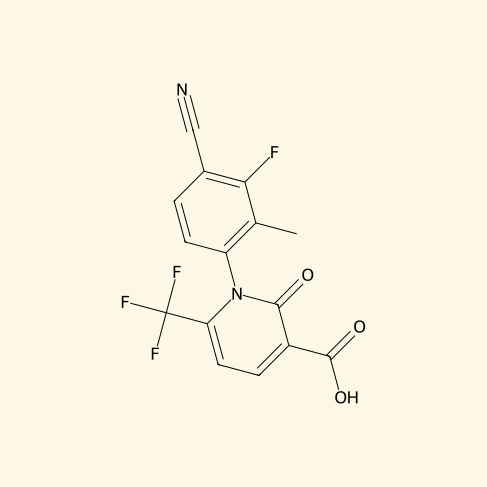 Cc1c(-n2c(C(F)(F)F)ccc(C(=O)O)c2=O)ccc(C#N)c1F